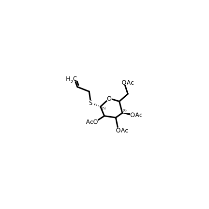 C=CCS[C@@H]1OC(COC(C)=O)[C@@H](OC(C)=O)C(OC(C)=O)C1OC(C)=O